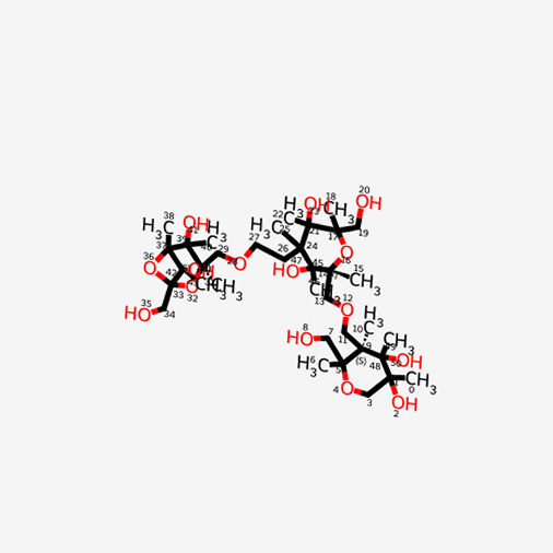 CC1(O)COC(C)(CO)[C@@](C)(COC[C@@]2(C)OC(C)(CO)C(C)(O)C(C)(CCOC[C@@]3(C)OC4(CO)OC(C)(C3(C)O)[C@]4(C)O)C2(C)O)C1(C)O